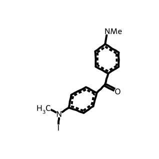 CNc1ccc(C(=O)c2ccc(N(C)I)cc2)cc1